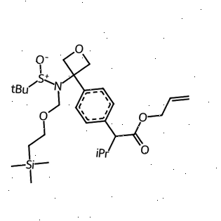 C=CCOC(=O)C(c1ccc(C2(N(COCC[Si](C)(C)C)[S+]([O-])C(C)(C)C)COC2)cc1)C(C)C